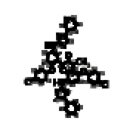 CC(C(=O)C(C)c1cc(Nc2nc(-c3cccnc3)cs2)ccc1Oc1ccc(Cl)cc1)c1cc(Nc2nc(-c3cccnc3)cs2)ccc1Oc1ccc(Cl)cc1